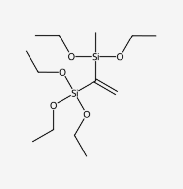 C=C([Si](C)(OCC)OCC)[Si](OCC)(OCC)OCC